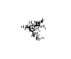 CCCCN.CN.I.I.I.N=C(N)N.[I-].[I-].[I-].[I-].[Pb+4]